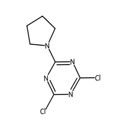 Clc1nc(Cl)nc(N2CCCC2)n1